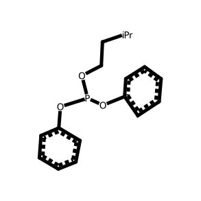 CC(C)CCOP(Oc1ccccc1)Oc1ccccc1